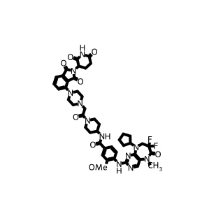 COc1cc(C(=O)NC2CCN(C(=O)CN3CCN(c4cccc5c4C(=O)N(C4CCC(=O)NC4=O)C5=O)CC3)CC2)ccc1Nc1ncc2c(n1)N(C1CCCC1)CC(F)(F)C(=O)N2C